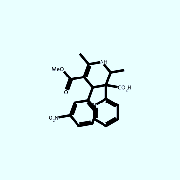 COC(=O)C1=C(C)NC(C)C(C(=O)O)(c2ccccn2)C1c1cccc([N+](=O)[O-])c1